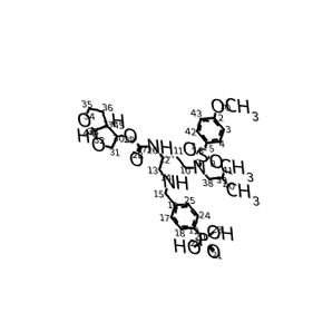 COc1ccc(S(=O)(=O)N(CC[C@H](CNCc2ccc(P(=O)(O)O)cc2)NC(=O)O[C@H]2CO[C@H]3OCC[C@H]32)CC(C)C)cc1